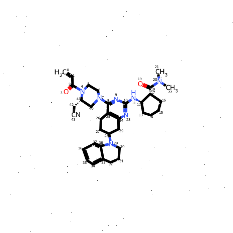 C=CC(=O)N1CCN(c2nc(N[C@@H]3CCCC[C@H]3C(=O)N(C)C)nc3c2CCC(N2CCCc4ccccc42)C3)C[C@@H]1CC#N